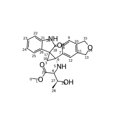 COC(=O)C(N[C@]1(c2ccc3c(c2)COC3)CC12C(=O)Nc1ccccc12)[C@H](C)O